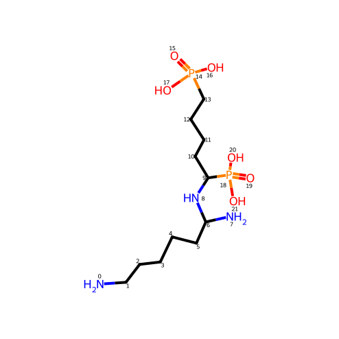 NCCCCCC(N)NC(CCCCP(=O)(O)O)P(=O)(O)O